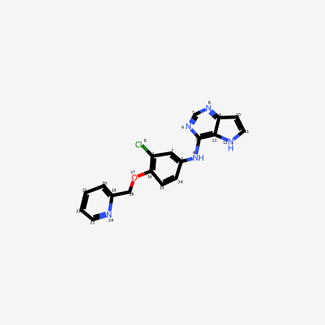 Clc1cc(Nc2ncnc3cc[nH]c23)ccc1OCc1ccccn1